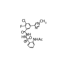 CC(=O)Nc1ccccc1S(=O)(=O)NNC(=O)c1cc(-c2cn(C)cn2)cc(Cl)c1F